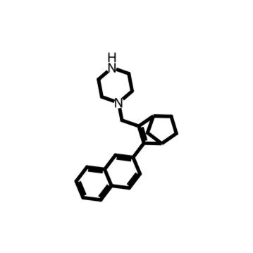 c1ccc2cc(C3=C(CN4CCNCC4)C4CCC3C4)ccc2c1